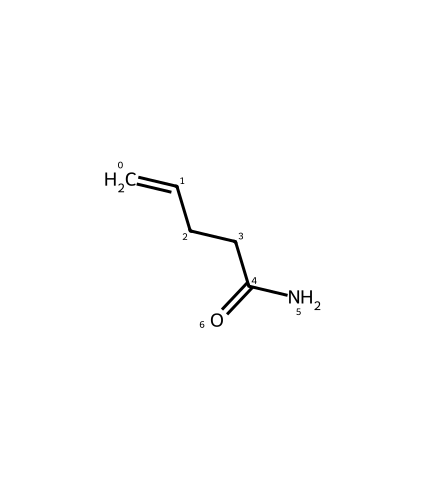 C=CCCC(N)=O